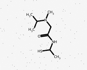 CC(S)NC(=O)CN(C)C(C)C